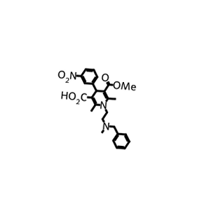 COC(=O)C1=C(C)N(CCN(C)Cc2ccccc2)C(C)=C(C(=O)O)C1c1cccc([N+](=O)[O-])c1